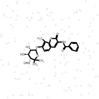 CO[C@@H]1[C@@H](O)[C@H](O)[C@H](Oc2ccc3cc(NC(=O)c4ccccc4)c(=O)oc3c2C)OC1(C)C